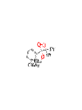 COc1cccc(C2(OC(C)(C)C)OOC2(C(C)C)C(C)C)c1